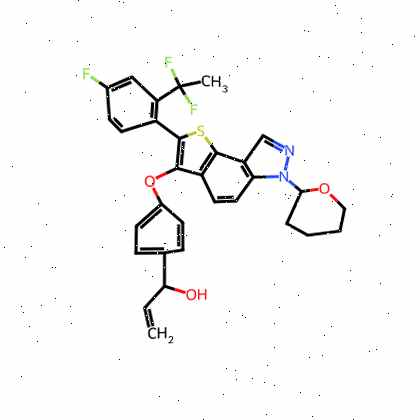 C=CC(O)c1ccc(Oc2c(-c3ccc(F)cc3C(C)(F)F)sc3c2ccc2c3cnn2C2CCCCO2)cc1